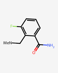 CNCc1c(F)cccc1C(N)=O